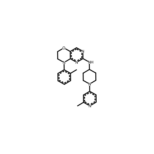 Cc1cc(N2CCC(Nc3ncc4c(n3)N(c3ccccc3C)CCO4)CC2)ccn1